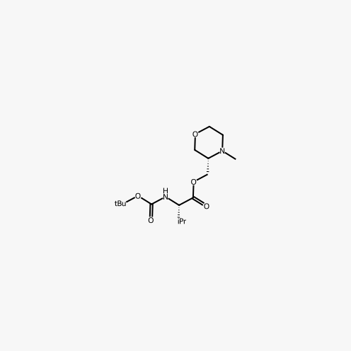 CC(C)[C@H](NC(=O)OC(C)(C)C)C(=O)OC[C@@H]1COCCN1C